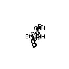 CCNC(=O)N1Cc2[nH]nc(N(C(=O)CC)c3ccc4ccccc4c3)c2C1